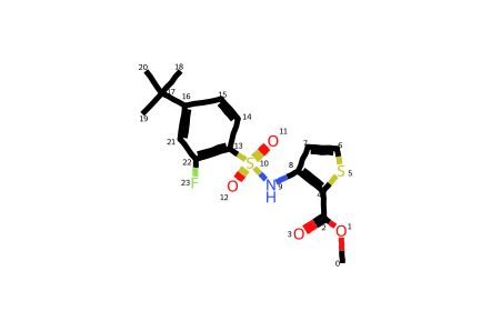 COC(=O)c1sccc1NS(=O)(=O)c1ccc(C(C)(C)C)cc1F